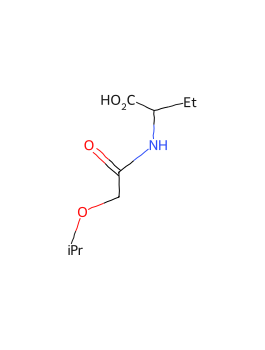 CCC(NC(=O)COC(C)C)C(=O)O